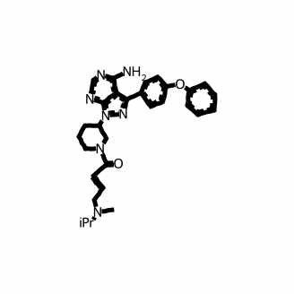 CC(C)N(C)CC=CC(=O)N1CCCC(n2nc(-c3ccc(Oc4ccccc4)cc3)c3c(N)ncnc32)C1